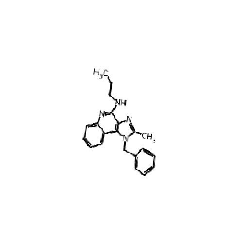 CCCNc1nc2ccccc2c2c1nc(C)n2Cc1ccccc1